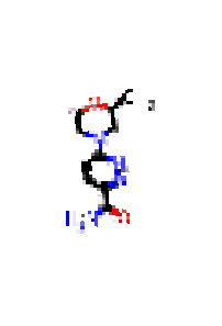 CC1CN(c2ccc(C(N)=O)nn2)CCO1